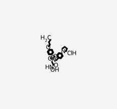 C=CCCOc1ccc(S(=O)(=O)N(CC(=O)NO)Cc2ccc(N3CCCC3)cc2)cc1.Cl